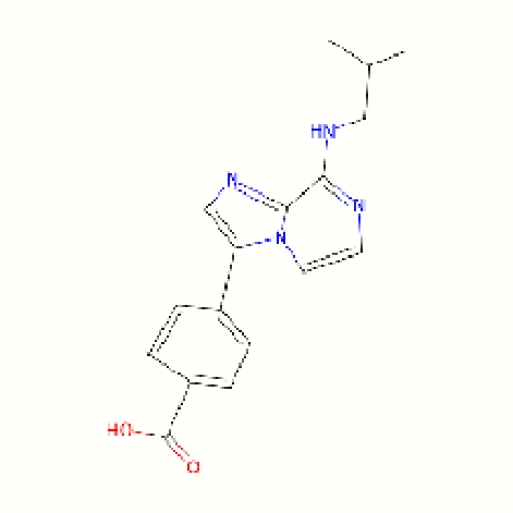 CC(C)CNc1nccn2c(-c3ccc(C(=O)O)cc3)cnc12